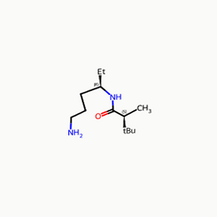 CC[C@H](CCCN)NC(=O)[C@@H](C)C(C)(C)C